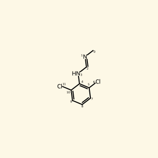 C/N=C/Nc1c(Cl)cccc1Cl